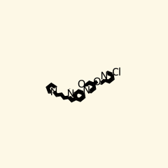 Cn1c(CCCN2CCCC2)cc2ccc(-n3ccc(OCc4ccc(Cl)cn4)cc3=O)cc21